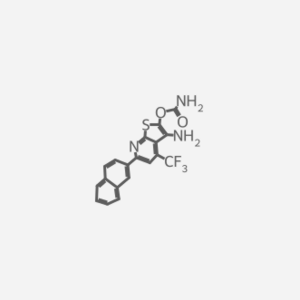 NC(=O)Oc1sc2nc(-c3ccc4ccccc4c3)cc(C(F)(F)F)c2c1N